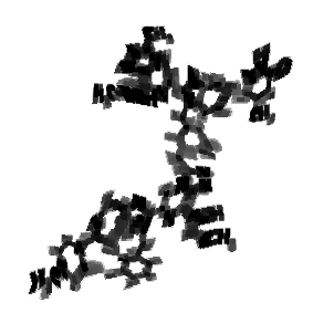 CCNc1nc(-c2nc3cnc(N4CCN(C)CC4)cc3n2Cc2ccccc2)cn2c(Cc3cccc(Cn4c(-c5cn6c(C)nnc6c(NC)n5)nc5cc(C6=NNC(=O)CC6C)ccc54)c3)nnc12